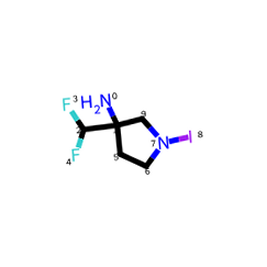 NC1(C(F)F)CCN(I)C1